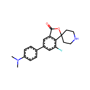 CN(C)c1ccc(-c2cc(F)c3c(c2)C(=O)OC32CCNCC2)cc1